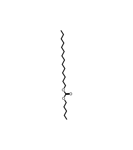 CCCCCCCCCCCCCCOC(=O)OCCCCC